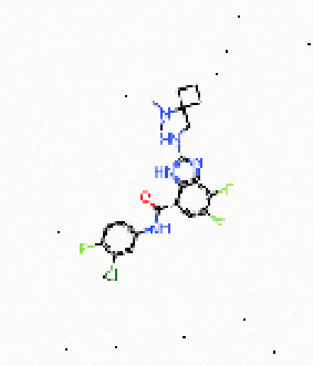 CN(C)C1(CNc2nc3c(F)c(F)cc(C(=O)Nc4ccc(F)c(Cl)c4)c3[nH]2)CCC1